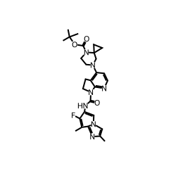 Cc1cn2cc(NC(=O)N3CCc4c(N5CCN(C(=O)OC(C)(C)C)C6(CC6)C5)ccnc43)c(F)c(C)c2n1